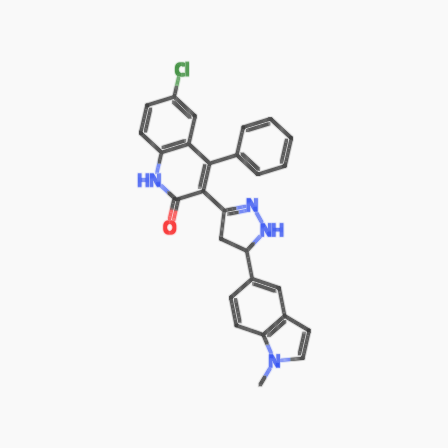 Cn1ccc2cc(C3CC(c4c(-c5ccccc5)c5cc(Cl)ccc5[nH]c4=O)=NN3)ccc21